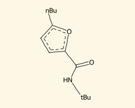 CCCCc1ccc(C(=O)NC(C)(C)C)o1